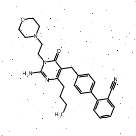 CCCCc1nc(N)n(CCN2CCOCC2)c(=O)c1Cc1ccc(-c2ccccc2C#N)cc1